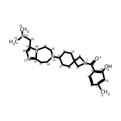 Cc1ccc(C(=O)N2CC3(CCC(N4CCc5ncc(CN(C)C)n5CC4)CC3)C2)c(O)c1